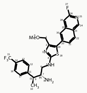 COCc1nc(NC[C@H](N)[C@@H](C)c2ccc(C(F)(F)F)cc2)sc1-c1ccc2cnc(F)cc2c1